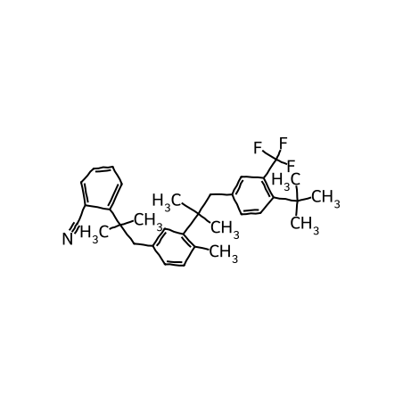 Cc1ccc(CC(C)(C)c2ccccc2C#N)cc1C(C)(C)Cc1ccc(C(C)(C)C)c(C(F)(F)F)c1